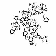 CC(C)[C@H](NC(=O)[C@H](CCCNC(=N)N)NC(=O)[C@@H](N)CC(N)=O)C(=O)N[C@@H](Cc1ccc(O)cc1)C(=O)N[C@H](C(=O)N[C@@H](Cc1cnc[nH]1)C(=O)N1CCC[C@H]1C(=O)N[C@@H](Cc1ccccc1)C(=O)O)C(C)C.CCOC(=O)[C@H](CCc1ccccc1)N[C@@H](C)C(=O)N1C(=O)N(C)C[C@H]1C(=O)O